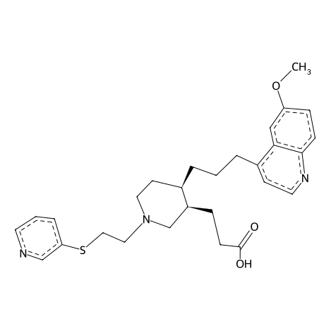 COc1ccc2nccc(CCC[C@@H]3CCN(CCSc4cccnc4)C[C@@H]3CCC(=O)O)c2c1